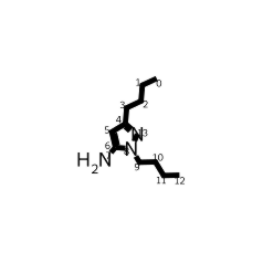 CCCCc1cc(N)n(CCCC)n1